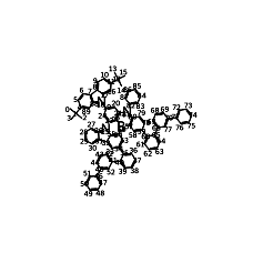 CC(C)(C)c1ccc2c3ccc(C(C)(C)C)cc3n(-c3cc4c5c(c3)-n3c6ccccc6c6cc(-c7ccccc7-c7cccc(-c8ccccc8)c7)cc(c63)B5c3cc(-c5ccccc5-c5cccc(-c6ccccc6)c5)ccc3N4c3ccccc3)c2c1